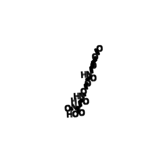 O=CCOCCOCCNC(=O)COCCOCNC(=O)CC[C@H](NC=O)C(=O)O